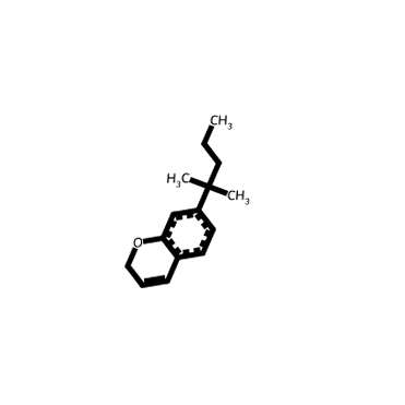 CCCC(C)(C)c1ccc2c(c1)OCC=C2